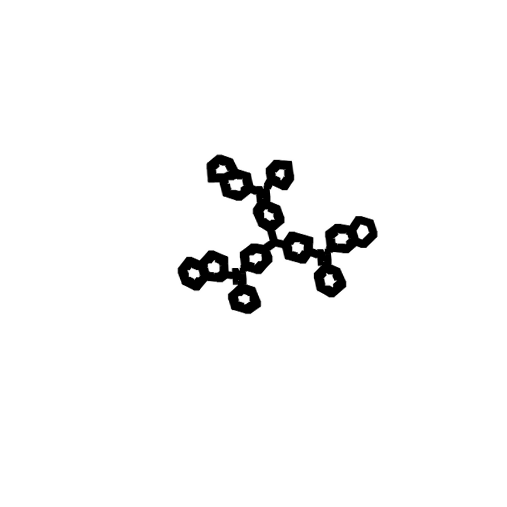 c1ccc(N(c2ccc(C(c3ccc(N(c4ccccc4)c4ccc5ccccc5c4)cc3)c3ccc(N(c4ccccc4)c4ccc5ccccc5c4)cc3)cc2)c2ccc3c(c2)CCCC3)cc1